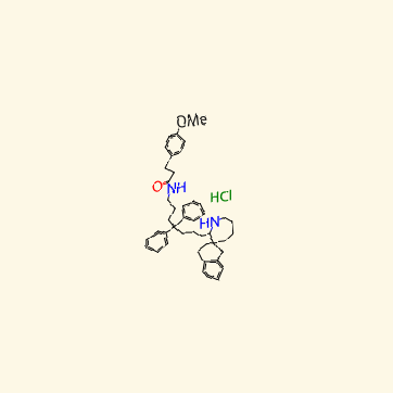 COc1ccc(CCC(=O)NCCCC(CCCC2NCCCCC23CCc2ccccc2C3)(c2ccccc2)c2ccccc2)cc1.Cl